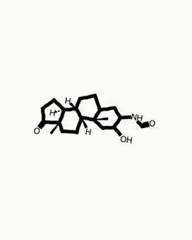 C[C@]12CC(O)C(NC=O)CC1CC[C@@H]1[C@H]2CC[C@]2(C)C(=O)CC[C@@H]12